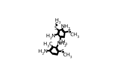 CSc1cc(C)c(N)c(SC)c1N.CSc1ccc(N)c(C)c1N